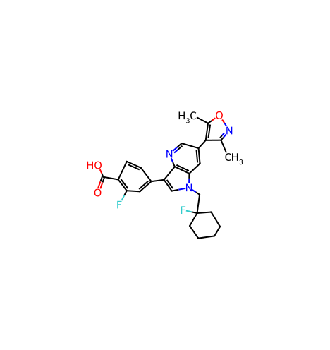 Cc1noc(C)c1-c1cnc2c(-c3ccc(C(=O)O)c(F)c3)cn(CC3(F)CCCCC3)c2c1